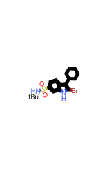 CC(C)(C)NS(=O)(=O)c1ccc2c(C3CCCCC3)c(Br)[nH]c2c1